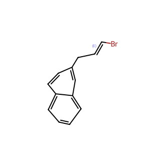 Br/C=C/Cc1ccc2ccccc2c1